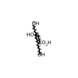 O=C(O)CCCCC(=O)O.OCCCCCCCCCCCCCCCCCCO